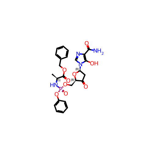 C[C@H](NP(=O)(OC[C@H]1O[C@@H](n2cnc(C(N)=O)c2O)CC1=O)Oc1ccccc1)C(=O)OCc1ccccc1